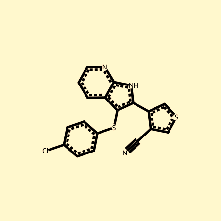 N#Cc1cscc1-c1[nH]c2ncccc2c1Sc1ccc(Cl)cc1